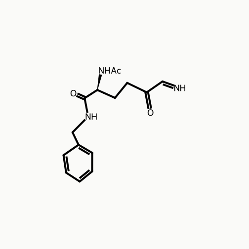 CC(=O)N[C@@H](CCC(=O)C=N)C(=O)NCc1ccccc1